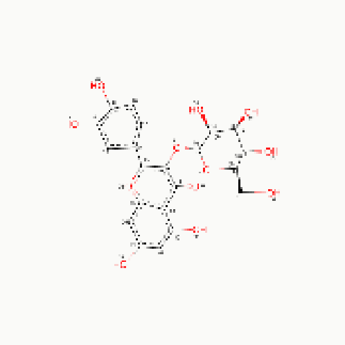 O=c1c(O[C@H]2O[C@H](CO)[C@@H](O)[C@H](O)[C@@H]2O)c(-c2ccc(O)c(O)c2)oc2cc(O)cc(O)c12